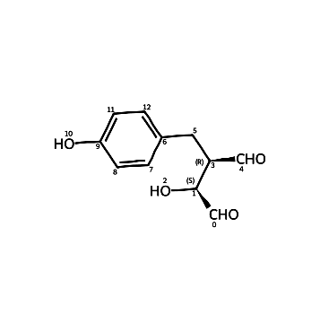 O=C[C@@H](O)[C@H](C=O)Cc1ccc(O)cc1